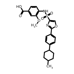 COc1cc(C(=O)O)ccc1NS(=O)(=O)c1coc(-c2ccc(C3CCC(C)CC3)cc2)n1